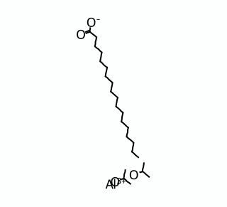 CC(C)[O-].CC(C)[O-].CCCCCCCCCCCCCCCCCC(=O)[O-].[Al+3]